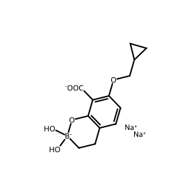 O=C([O-])c1c(OCC2CC2)ccc2c1O[B-](O)(O)CC2.[Na+].[Na+]